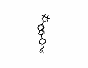 CC1(C)OB(c2ccc3sc(C4CCN(CCC(F)(F)F)CC4)nc3c2)OC1(C)C